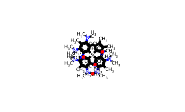 CC1=C(C)C(C)C([Si](c2c(C)c(N(C)C)c(C)c(N(C)C)c2N(C)C)(c2c(C)c(N(C)C)c(C)c(N(C)C)c2N(C)C)c2c(C)c(N(C)C)c(C)c(N(C)C)c2N(C)C)=C1C